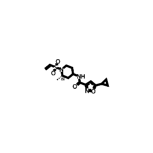 C=CS(=O)(=O)N1CCC(NC(=O)c2cc(C3CC3)on2)C[C@@H]1C